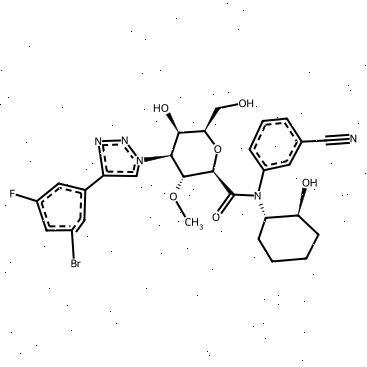 CO[C@@H]1[C@@H](n2cc(-c3cc(F)cc(Br)c3)nn2)[C@@H](O)[C@@H](CO)O[C@H]1C(=O)N(c1cccc(C#N)c1)[C@H]1CCCC[C@@H]1O